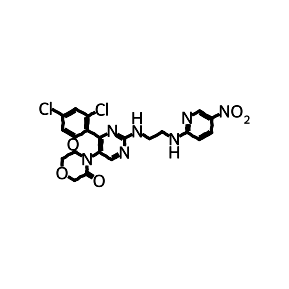 O=C1COCC(=O)N1c1cnc(NCCNc2ccc([N+](=O)[O-])cn2)nc1-c1ccc(Cl)cc1Cl